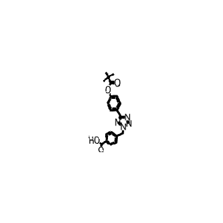 CC(C)(C)C(=O)Oc1ccc(-c2nnn(Cc3ccc(C(=O)O)cc3)n2)cc1